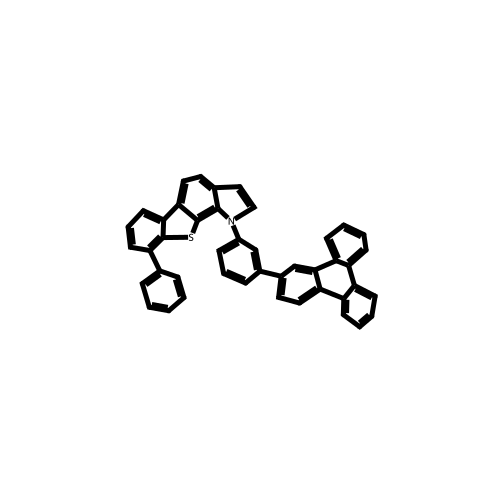 c1ccc(-c2cccc3c2sc2c3ccc3ccn(-c4cccc(-c5ccc6c7ccccc7c7ccccc7c6c5)c4)c32)cc1